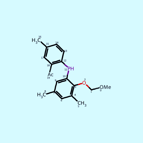 COCOc1c(C)cc(C)cc1Pc1ccc(C)cc1C(C)=O